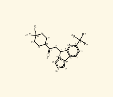 O=C(CC1c2nc(C(F)(F)F)ccc2-c2cncn21)C1CCC(F)(F)CC1